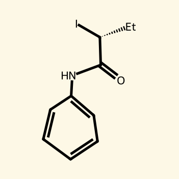 CC[C@@H](I)C(=O)Nc1ccccc1